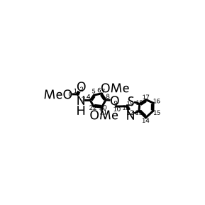 COC(=O)Nc1cc(OC)c(OCc2nc3ccccc3s2)c(OC)c1